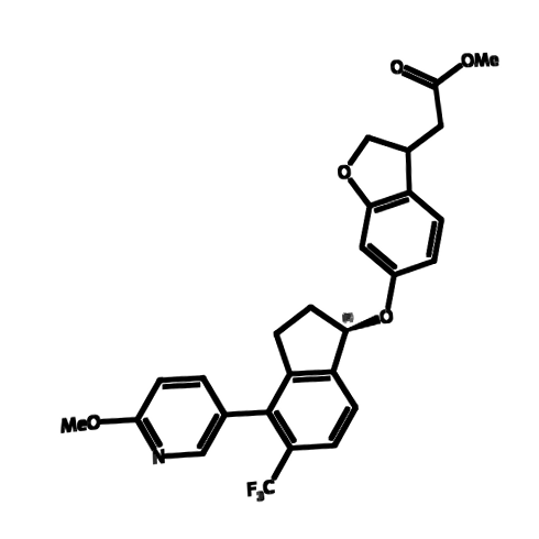 COC(=O)CC1COc2cc(O[C@@H]3CCc4c3ccc(C(F)(F)F)c4-c3ccc(OC)nc3)ccc21